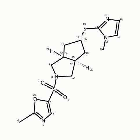 Cc1ncc(S(=O)(=O)N2C[C@H]3C[C@H](Sc4nccn4C)C[C@H]3C2)o1